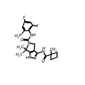 CC1(C(=O)Nc2n[nH]c3c2CN(C(=O)Nc2c(F)cc(F)cc2P)C3(C)C)CCC1